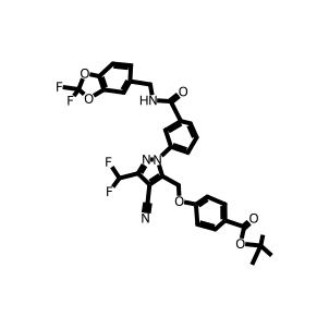 CC(C)(C)OC(=O)c1ccc(OCc2c(C#N)c(C(F)F)nn2-c2cccc(C(=O)NCc3ccc4c(c3)OC(F)(F)O4)c2)cc1